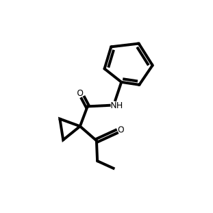 CCC(=O)C1(C(=O)Nc2ccccc2)CC1